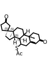 CC(=O)SC1CC2=CC(=O)CC[C@@]2(C)[C@H]2CC[C@@]3(C)[C@@H](CC[C@@]34CCC(=O)C4)[C@H]12